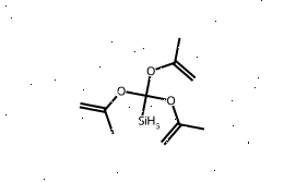 C=C(C)OC([SiH3])(OC(=C)C)OC(=C)C